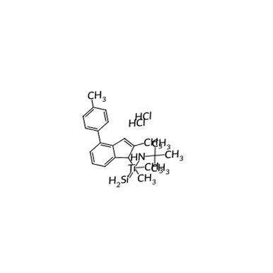 CC1=Cc2c(-c3ccc(C)cc3)cccc2[CH]1[Ti]([CH3])([CH3])(=[SiH2])[NH]C(C)(C)C.Cl.Cl